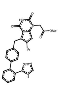 COC(=O)Cn1c(=O)[nH]c(=O)c2c1nc(C(C)C)n2Cc1ccc(-c2ccccc2-c2nnn[nH]2)cc1